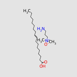 CCCCCCCCC=CCCCCCCCC(=O)O.C[N+](C)([O-])CCCN